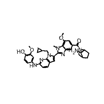 COc1cc(Nc2ccc3cc(-c4nc5cc(C(=O)N6CC7CCC6C7N)cc(OC)c5n4C)n(CC4CC4)c3n2)ccc1O